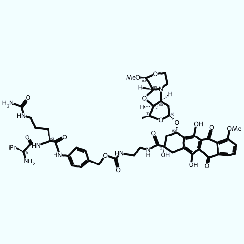 COc1cccc2c1C(=O)c1c(O)c3c(c(O)c1C2=O)C[C@@](O)(C(=O)NCCNC(=O)OCc1ccc(NC(=O)[C@H](CCCNC(N)=O)NC(=O)[C@@H](N)C(C)C)cc1)C[C@@H]3O[C@H]1C[C@H]2[C@H](O[C@@H]3[C@@H](OC)OCCN32)[C@H](C)O1